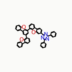 c1ccc(-c2nc(-c3ccccc3)nc(-c3ccc4c(c3)oc3c(-c5cc(-c6cccc7c6oc6ccccc67)cc6c5oc5ccccc56)cccc34)n2)cc1